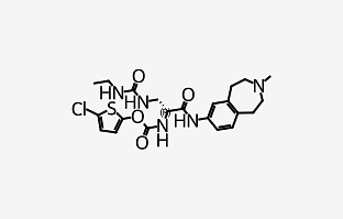 CCNC(=O)NC[C@@H](NC(=O)Oc1ccc(Cl)s1)C(=O)Nc1ccc2c(c1)CCN(C)CC2